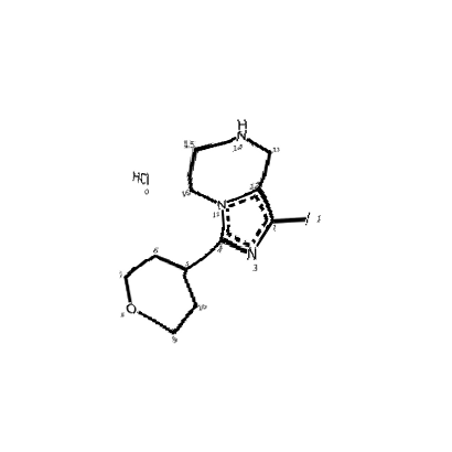 Cl.Ic1nc(C2CCOCC2)n2c1CNCC2